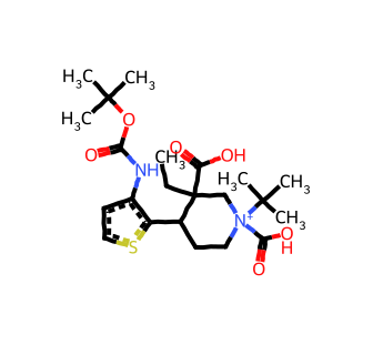 CCC1(C(=O)O)C[N+](C(=O)O)(C(C)(C)C)CCC1c1sccc1NC(=O)OC(C)(C)C